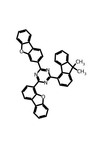 CC1(C)c2ccccc2-c2c(-c3nc(-c4ccc5c(c4)oc4ccccc45)nc(-c4cccc5c4oc4ccccc45)n3)cccc21